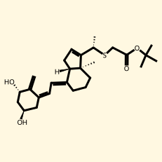 C=C1C(=CC=C2CCC[C@]3(C)C([C@H](C)SCC(=O)OC(C)(C)C)=CC[C@@H]23)C[C@@H](O)C[C@@H]1O